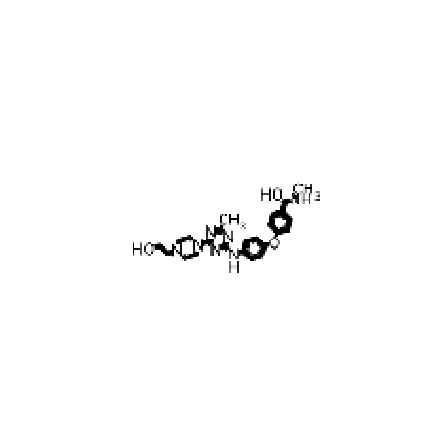 CNC(O)c1ccc(Oc2ccc(Nc3nc(C)nc(N4CCN(CCO)CC4)n3)cc2)cc1